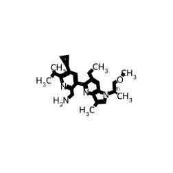 CCc1cc2c(nc1-c1cc(C3CC3)c(C(C)C)nc1CN)c(C)cn2[C@H](C)COC